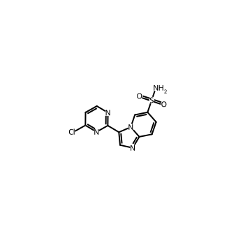 NS(=O)(=O)c1ccc2ncc(-c3nccc(Cl)n3)n2c1